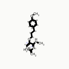 C=C(N)/N=C(NC)\C(=C/C)OCCCc1ccc(OC)cc1